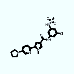 Cn1cc(C(=O)Nc2cc(Cl)cc(NS(C)(=O)=O)c2)cc1-c1ccc(N2CCCC2)cn1